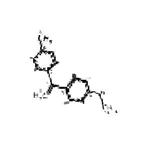 C=C(c1ccc(C)cc1)c1ccc(CC)cc1